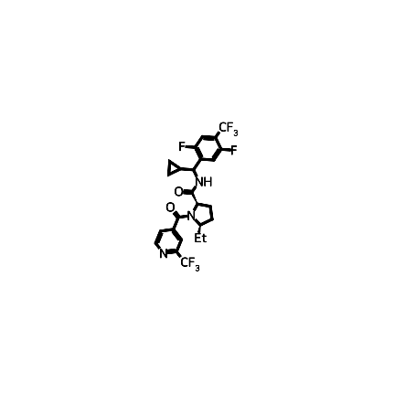 CC[C@@H]1CC[C@H](C(=O)NC(c2cc(F)c(C(F)(F)F)cc2F)C2CC2)N1C(=O)c1ccnc(C(F)(F)F)c1